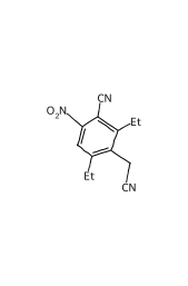 CCc1cc([N+](=O)[O-])c(C#N)c(CC)c1CC#N